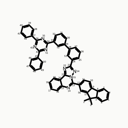 CC1(C)c2ccccc2-c2ccc(-c3nc4ccccc4c4nc(-c5cccc(-c6cccc(-c7nc(-c8ccccc8)nc(-c8ccccc8)n7)c6)c5)nn34)cc21